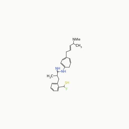 CNC(C)/C=C/CC1=CC=C(NC(=N)C(C)Cc2ccccc2C(F)S)CC=C1